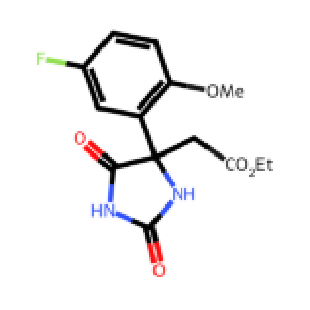 CCOC(=O)CC1(c2cc(F)ccc2OC)NC(=O)NC1=O